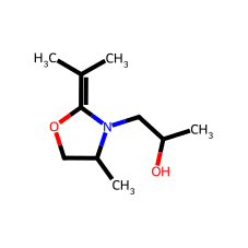 CC(C)=C1OCC(C)N1CC(C)O